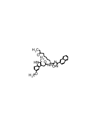 CCC(=O)CCCCC[C@H](NC(=O)Cc1c(C)[nH]c2ccc(OC)cc12)c1nc(-c2ccc3ccccc3c2)no1